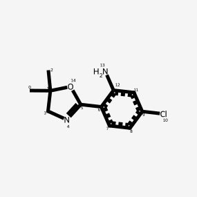 CC1(C)CN=C(c2ccc(Cl)cc2N)O1